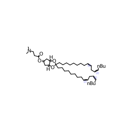 CCCC/C=C\C/C=C\CCCCCCCCC1(CCCCCCCC/C=C\C/C=C\CCCC)O[C@H]2C[C@@H](OC(=O)CCN(C)C)C[C@H]2O1